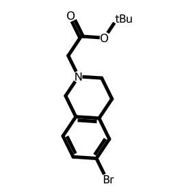 CC(C)(C)OC(=O)CN1CCc2cc(Br)ccc2C1